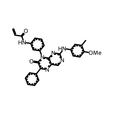 C=CC(=O)Nc1cccc(-n2c(=O)c(-c3ccccc3)nc3cnc(Nc4ccc(OC)c(C)c4)nc32)c1